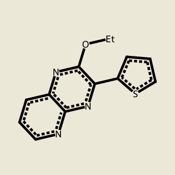 CCOc1nc2cccnc2nc1-c1cccs1